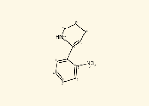 O=[N+]([O-])c1ccccc1C1=CCCCN1